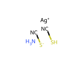 N.N#CS.N#C[S-].[Ag+]